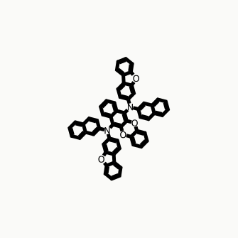 c1ccc2c(c1)Oc1c(c(N(c3ccc4ccccc4c3)c3ccc4c(c3)oc3ccccc34)c3ccccc3c1N(c1ccc3ccccc3c1)c1ccc3c(c1)oc1ccccc13)O2